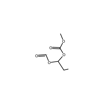 CCC(O[C]=O)OC(=O)OC